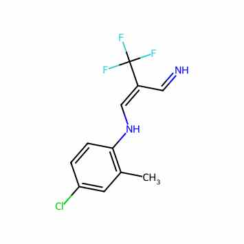 Cc1cc(Cl)ccc1N/C=C(\C=N)C(F)(F)F